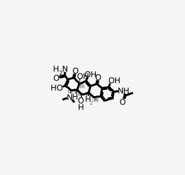 CC(=O)Nc1ccc2c(c1O)C(=O)C1=C(O)[C@]3(O)C(=O)C(C(N)=O)=C(O)[C@@H](N(C)C)[C@@H]3[C@@H](O)[C@@H]1[C@H]2C